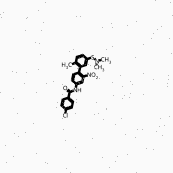 Cc1ccc(SN(C)C)cc1-c1ccc(NC(=O)c2ccc(Cl)cc2)cc1[N+](=O)[O-]